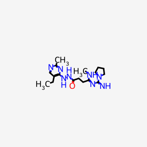 CCc1cnc(C)nc1NNC(=O)CC/C(=N/C(=N)N1CCCC1)NC